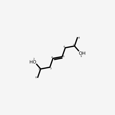 CC(O)CC=CCC(C)O